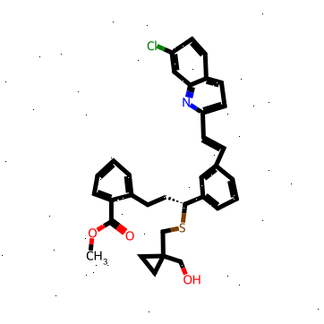 COC(=O)c1ccccc1CC[C@@H](SCC1(CO)CC1)c1cccc(/C=C/c2ccc3ccc(Cl)cc3n2)c1